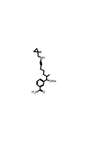 COC(c1cccc(C(N)=O)c1)C(C)CCCC#CNCC1(F)CC1